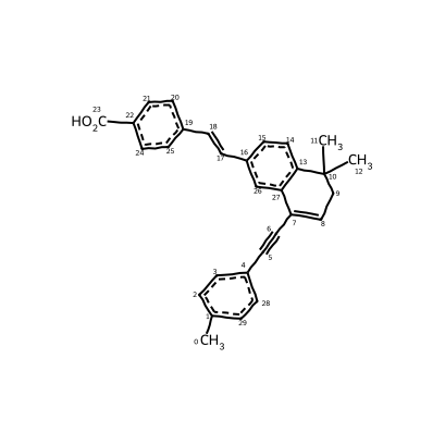 Cc1ccc(C#CC2=CCC(C)(C)c3ccc(C=Cc4ccc(C(=O)O)cc4)cc32)cc1